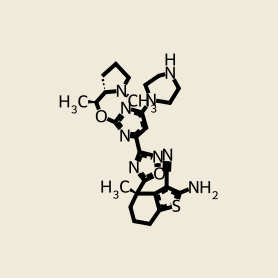 C[C@H](Oc1nc(-c2noc([C@@]3(C)CCCc4sc(N)c(C#N)c43)n2)cc(N2CCNCC2)n1)[C@@H]1CCCN1C